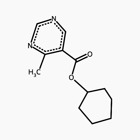 Cc1ncncc1C(=O)OC1CCCCC1